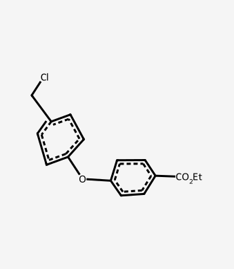 CCOC(=O)c1ccc(Oc2ccc(CCl)cc2)cc1